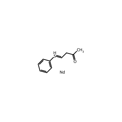 CC(=O)CC=[SH]c1ccccc1.[Nd]